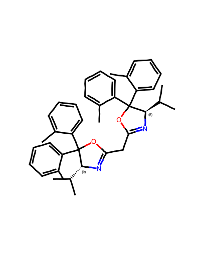 Cc1ccccc1C1(c2ccccc2C)OC(CC2=N[C@H](C(C)C)C(c3ccccc3C)(c3ccccc3C)O2)=N[C@@H]1C(C)C